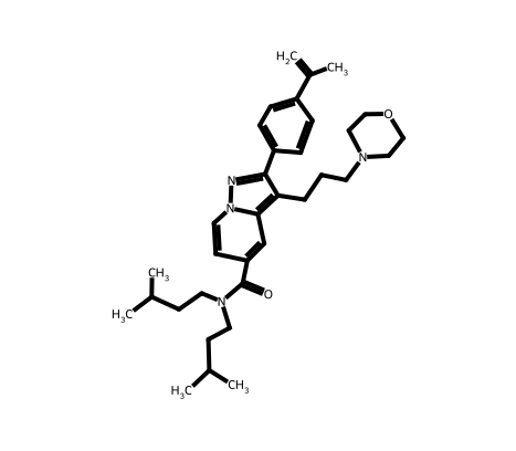 C=C(C)c1ccc(-c2nn3ccc(C(=O)N(CCC(C)C)CCC(C)C)cc3c2CCCN2CCOCC2)cc1